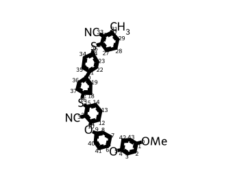 COc1ccc(Oc2ccc(Oc3cccc(Sc4ccc(-c5ccc(Sc6cccc(C)c6C#N)cc5)cc4)c3C#N)cc2)cc1